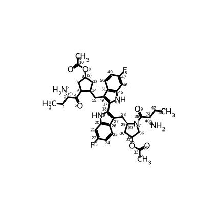 CC[C@H](N)C(=O)C1C[C@@H](OC(C)=O)CC1Cc1c(-c2[nH]c3cc(F)ccc3c2C[C@@H]2C[C@H](OC(C)=O)CN2C(=O)[C@@H](N)CC)[nH]c2cc(F)ccc12